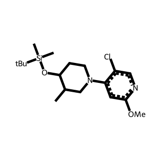 COc1cc(N2CCC(O[Si](C)(C)C(C)(C)C)C(C)C2)c(Cl)cn1